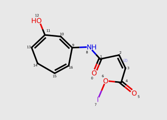 O=C(/C=C\C(=O)OI)NC1=CC(O)=CCC=C1